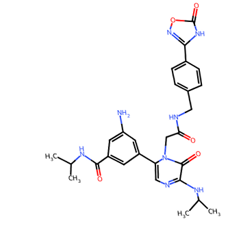 CC(C)NC(=O)c1cc(N)cc(-c2cnc(NC(C)C)c(=O)n2CC(=O)NCc2ccc(-c3noc(=O)[nH]3)cc2)c1